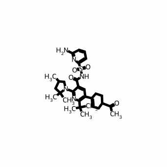 CC(=O)C1CC=C(c2cc(C(=O)NS(=O)(=O)c3cccc(N)n3)c(N3CC(C)CC3(C)C)nc2C(C)(C)C)CC1